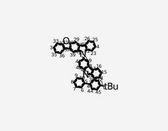 CC(C)(C)c1ccc(-c2ccccc2-n2c3ccccc3c3cc(-n4c5ccccc5c5cc6oc7ccccc7c6cc54)ccc32)cc1